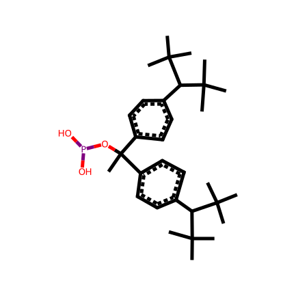 CC(OP(O)O)(c1ccc(C(C(C)(C)C)C(C)(C)C)cc1)c1ccc(C(C(C)(C)C)C(C)(C)C)cc1